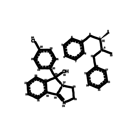 C[C@@H](Cc1ccccc1)N(C)Cc1ccccc1.OC1(c2ccc(Cl)cc2)c2ccccc2C2=NCCN21